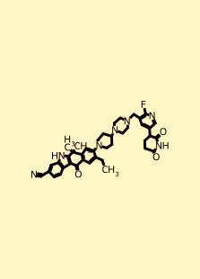 CCc1cc2c(cc1N1CCC(N3CCN(Cc4cc(C5CCC(=O)NC5=O)cnc4F)CC3)CC1)C(C)(C)c1[nH]c3cc(C#N)ccc3c1C2=O